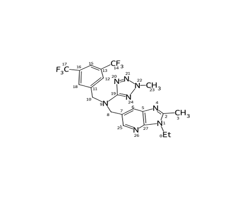 CCn1c(C)nc2cc(CN(Cc3cc(C(F)(F)F)cc(C(F)(F)F)c3)c3nnn(C)n3)[c]nc21